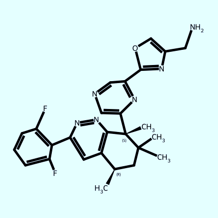 C[C@@H]1CC(C)(C)[C@@](C)(c2cncc(-c3nc(CN)co3)n2)c2nnc(-c3c(F)cccc3F)cc21